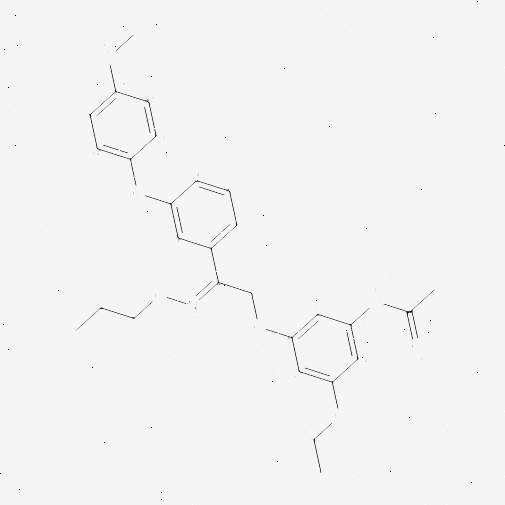 CCCON=C(COc1cc(OCC)cc(OC(C)=O)c1)c1cccc(Oc2ccc(OC)cc2)c1